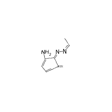 C=C1C=CC=C(N)/C1=N/N=C\C